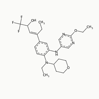 CCOc1ncc(Nc2cc(/C(=C/C(O)C(F)(F)F)CC)ccc2N(CC)C2CCOCC2)cn1